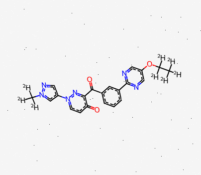 [2H]C([2H])([2H])n1cc(-n2ccc(=O)c(C(=O)c3cccc(-c4ncc(OC([2H])([2H])C([2H])([2H])[2H])cn4)c3)n2)cn1